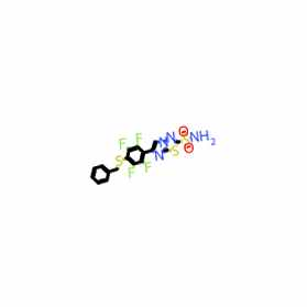 NS(=O)(=O)c1nn2cc(-c3c(F)c(F)c(SCc4ccccc4)c(F)c3F)nc2s1